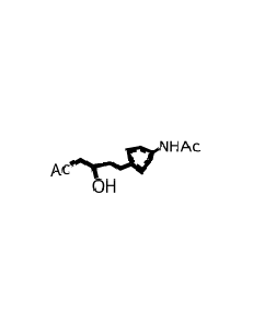 CC(=O)CC(O)CCc1ccc(NC(C)=O)cc1